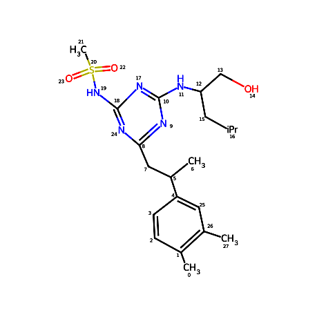 Cc1ccc(C(C)Cc2nc(NC(CO)CC(C)C)nc(NS(C)(=O)=O)n2)cc1C